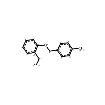 FC(F)(F)c1ccc(COc2ccccc2CCl)cc1